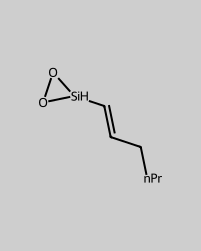 CCCCC=C[SiH]1OO1